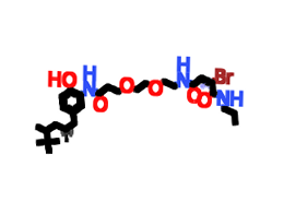 CCCNC(=O)/C(Br)=C\C(=O)NCCOCCOCCC(=O)Nc1cc(C[C@H](C)CC(C)C(C)(C)C)ccc1O